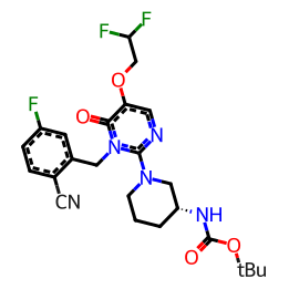 CC(C)(C)OC(=O)N[C@@H]1CCCN(c2ncc(OCC(F)F)c(=O)n2Cc2cc(F)ccc2C#N)C1